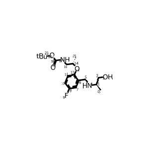 C[C@H](CO)NCc1cc(F)ccc1O[C@@H](C)CNC(=O)OC(C)(C)C